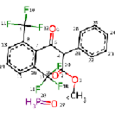 COC(=O)C(C(=O)c1c(C(F)(F)F)cccc1C(F)(F)F)c1ccccc1.O=[PH3]